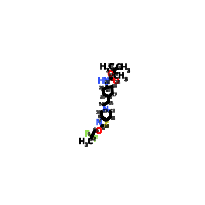 CC(F)(F)COc1nc2c(s1)CCN(CCC1CCC(NC(=O)OC(C)(C)C)CC1)C2